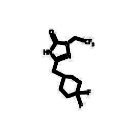 O=c1[nH]c(CC2CCC(F)(F)CC2)nn1CC(F)(F)F